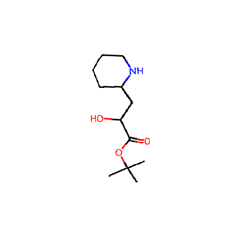 CC(C)(C)OC(=O)C(O)CC1CCCCN1